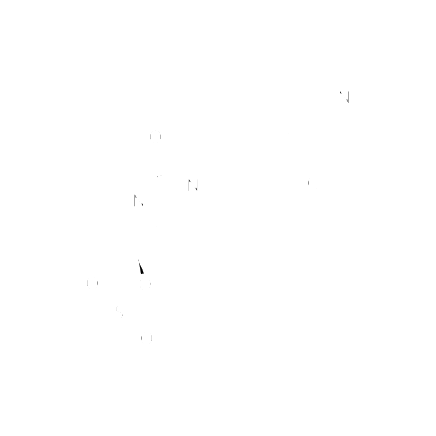 Cc1c(N2CC3[C@@H](OS(C)(=O)=O)CCN3C2=O)ccc(C#N)c1Cl